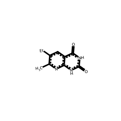 CCc1cc2c(=O)[nH]c(=O)[nH]c2nc1C